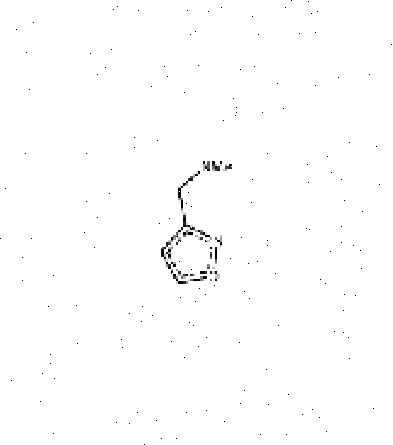 [CH2]NCc1ccon1